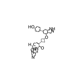 CC=C(C(=O)NCc1cncn1C)C1CC(Oc2cc(-c3ccc(O)cc3)cc3[nH]ncc23)C1